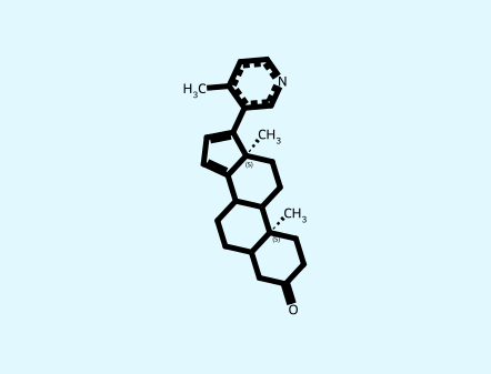 Cc1ccncc1C1=CC=C2C3CCC4CC(=O)CC[C@]4(C)C3CC[C@]12C